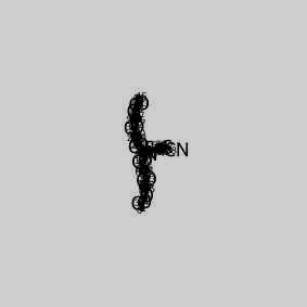 C=CC(=O)OCOc1ccc(OC(=O)[C@H]2CC[C@H](C(=O)Oc3ccc(OC(=O)[C@H]4CC[C@H](C(=O)Oc5ccc(OCOC(=O)C=C)cc5)CC4)c4sc(-c5ccc(SC#N)cc5)nc34)CC2)cc1